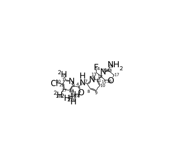 [2H]c1nc(C(=O)Nc2cccc(C3(CF)COCC(N)=N3)n2)c(C([2H])([2H])[2H])c([2H])c1Cl